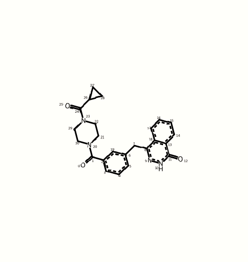 O=C(c1cccc(Cc2n[nH]c(=O)c3ccccc23)c1)N1CCN(C(=O)C2CC2)CC1